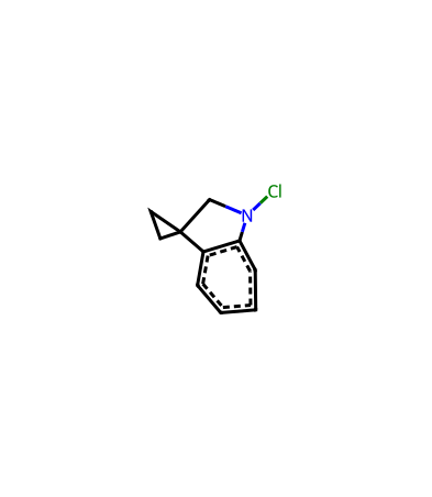 ClN1CC2(CC2)c2ccccc21